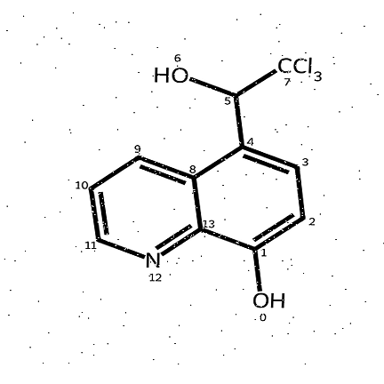 Oc1ccc(C(O)C(Cl)(Cl)Cl)c2cccnc12